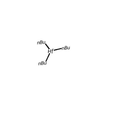 CCC[CH2][Hf]([CH2]CCC)[CH2]CCC